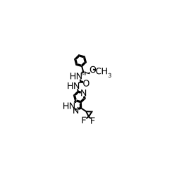 COC[C@@H](NC(=O)Nc1cc2[nH]nc(C3CC3(F)F)c2cn1)c1ccccc1